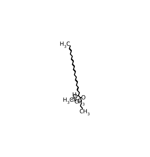 CCC=CCCC=CC=CC=CCCC=CCC=CCC(O[SiH](C)C)C(=O)OCCCC